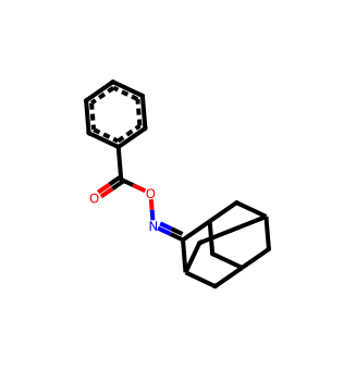 O=C(ON=C1C2CC3CC(C2)CC1C3)c1ccccc1